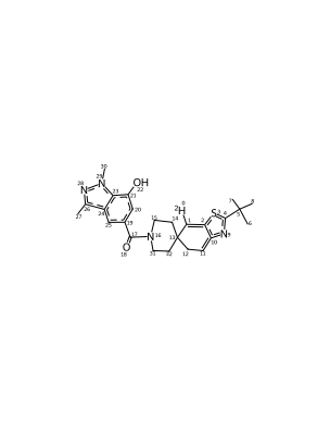 [2H]C1=c2sc(C(C)(C)C)nc2=CCC12CCN(C(=O)c1cc(O)c3c(c1)c(C)nn3C)CC2